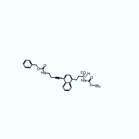 CC(C)(C)OC(=O)N[C@@H](CCc1ccc(C#CCCNC(=O)OCc2ccccc2)c2ccccc12)C(=O)O